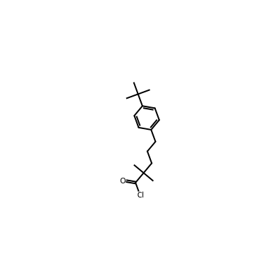 CC(C)(CCCc1ccc(C(C)(C)C)cc1)C(=O)Cl